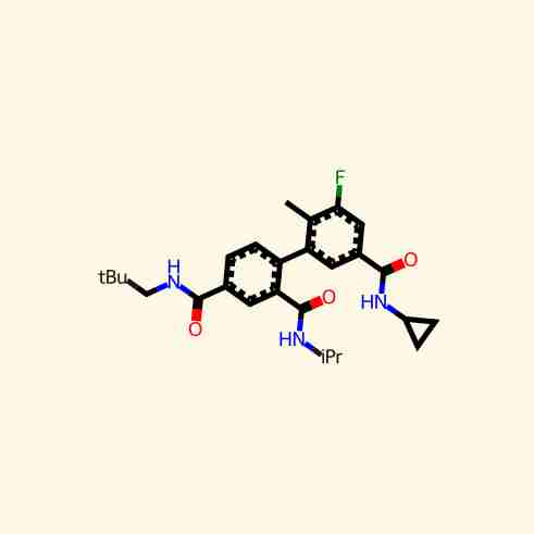 Cc1c(F)cc(C(=O)NC2CC2)cc1-c1ccc(C(=O)NCC(C)(C)C)cc1C(=O)NC(C)C